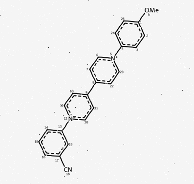 COc1ccc(-[n+]2ccc(-c3cc[n+](-c4cccc(C#N)c4)cc3)cc2)cc1